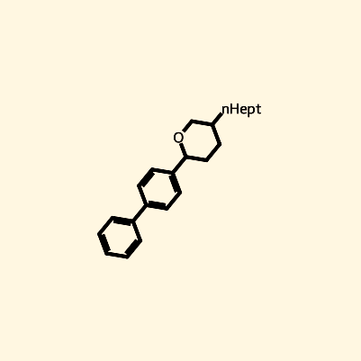 CCCCCCCC1CCC(c2ccc(-c3ccccc3)cc2)OC1